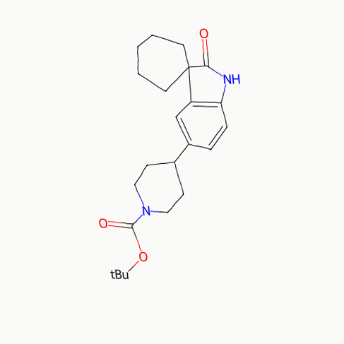 CC(C)(C)OC(=O)N1CCC(c2ccc3c(c2)C2(CCCCC2)C(=O)N3)CC1